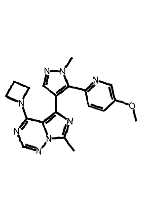 COc1ccc(-c2c(-c3nc(C)n4ncnc(N5CCC5)c34)cnn2C)nc1